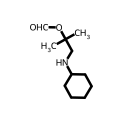 CC(C)(CNC1CCCCC1)OC=O